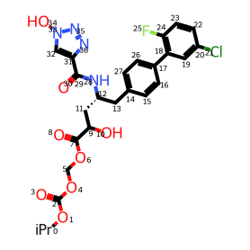 CC(C)OC(=O)OCOC(=O)C(O)C[C@@H](Cc1ccc(-c2cc(Cl)ccc2F)cc1)NC(=O)c1cn(O)nn1